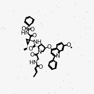 C=C[C@@H]1C[C@]1(NC(=O)[C@@H]1C[C@@H](Oc2cc(-c3ccccc3)nc3cc(OC)ccc23)CN1C(=O)CNC(=O)C=CC)C(=O)NS(=O)(=O)c1ccccc1